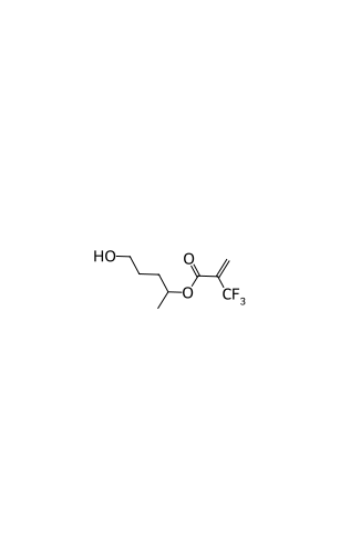 C=C(C(=O)OC(C)CCCO)C(F)(F)F